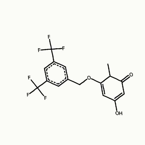 CC1C(=O)C=C(O)C=C1OCc1cc(C(F)(F)F)cc(C(F)(F)F)c1